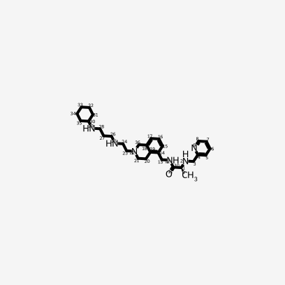 C[C@H](NCc1ccccn1)C(=O)NCc1cccc2c1CCN(CCNCCCNC1CCCCC1)C2